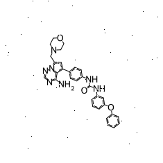 Nc1ncnn2c(CN3CCOCC3)cc(-c3ccc(NC(=O)Nc4cccc(Oc5ccccc5)c4)cc3)c12